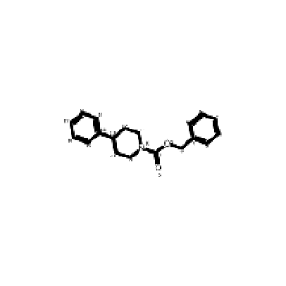 O=C(OCc1ccccc1)N1CCC(c2ccccc2)CC1